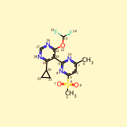 Cc1cc(S(C)(=O)=O)nc(-c2c(OC(F)F)ncnc2C2CC2)n1